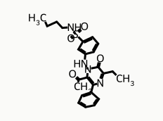 CCCCNS(=O)(=O)c1cccc(Nn2c(C(C)=O)c(-c3ccccc3)nc(CC)c2=O)c1